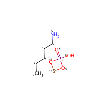 CCCCCN.O=P1(O)OSO1